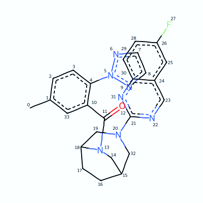 Cc1ccc(-n2nccn2)c(C(=O)N2CC3CCC2CN(c2ncc4cc(F)ccc4n2)C3)c1